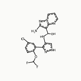 Nc1nn2cccnc2c1C(O)Nc1c[nH]nc1-c1cc(Cl)ccc1OC(F)F